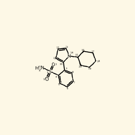 NS(=O)(=O)c1ccccc1-c1cccn1C1CCCCC1